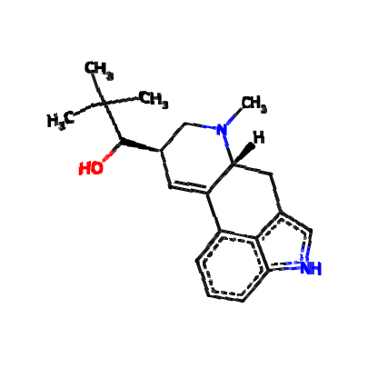 CN1C[C@H](C(O)C(C)(C)C)C=C2c3cccc4[nH]cc(c34)C[C@H]21